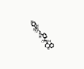 O=C(N[C@@H]1CCOc2ccccc21)c1cccc(NCc2nnc(-c3ccncc3)[nH]2)c1